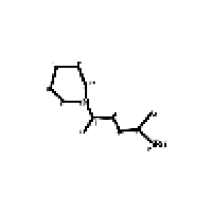 CCC(C)C(C)CCC(C)N1CCCCC1